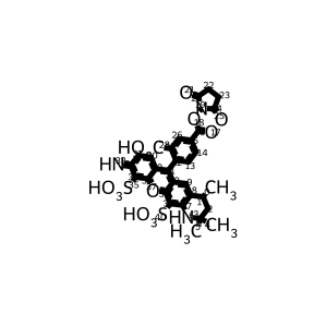 CC1CC(C)(C)Nc2c1cc1c(-c3ccc(C(=O)ON4C(=O)CCC4=O)cc3C(=O)O)c3ccc(=N)c(S(=O)(=O)O)c-3oc1c2S(=O)(=O)O